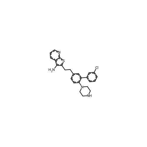 Nc1c(CCc2ccc(N3CCNCC3)c(-c3cccc(Cl)c3)c2)sc2ncccc12